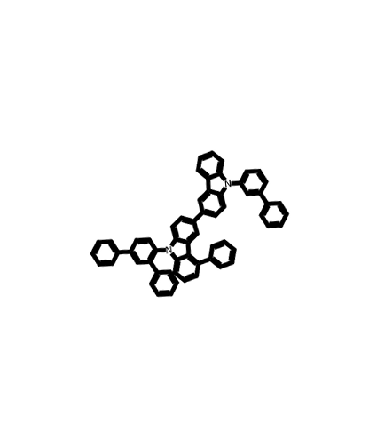 c1ccc(-c2cccc(-n3c4ccccc4c4cc(-c5ccc6c(c5)c5c(-c7ccccc7)cccc5n6-c5ccc(-c6ccccc6)cc5-c5ccccc5)ccc43)c2)cc1